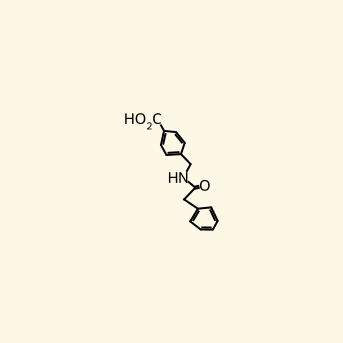 O=C(Cc1ccccc1)NCc1ccc(C(=O)O)cc1